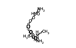 CCCCCNc1nc(N)nc2ccn(Cc3ccc(CN4CCN(CCOCCOCCNC(=O)CON)CC4)cc3OC)c12